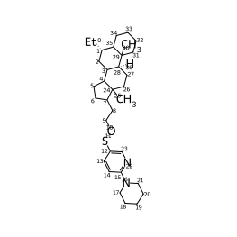 CC[C@H]1CC2C3CCC(CCOSc4ccc(N5CCCCC5)nc4)C3(C)CC[C@@H]2C2(C)CCCCC12